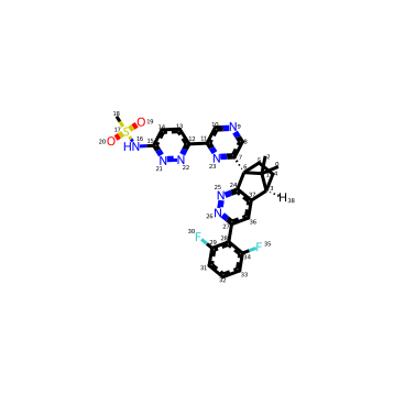 CC1(C)[C@H]2CC[C@]1(c1cncc(-c3ccc(NS(C)(=O)=O)nn3)n1)c1nnc(-c3c(F)cccc3F)cc12